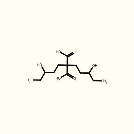 CCC(O)CCC(CCC(O)CC)(C(=O)O)C(=O)O